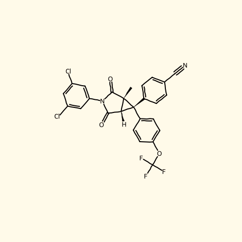 C[C@]12C(=O)N(c3cc(Cl)cc(Cl)c3)C(=O)[C@H]1[C@@]2(c1ccc(C#N)cc1)c1ccc(OC(F)(F)F)cc1